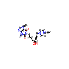 CCCn1cnc2c1c(=O)n(CCCCC(C)(O)C#CCN1CCN(C(C)=O)CC1)c(=O)n2C